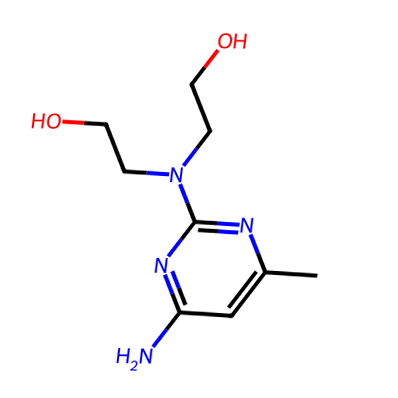 Cc1cc(N)nc(N(CCO)CCO)n1